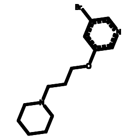 Brc1cncc(OCCCN2CCCCC2)c1